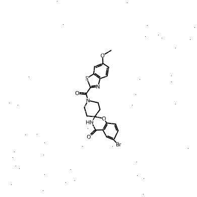 COc1ccc2nc(C(=O)N3CCC4(CC3)NC(=O)c3cc(Br)ccc3O4)sc2c1